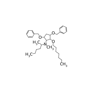 CCCCCCCOC1C(OCc2ccccc2)CC(OCc2ccccc2)C1N(C)C(C)CCCC